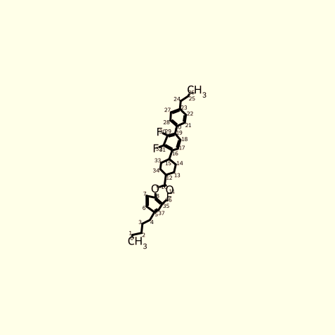 CCCCCc1ccc(OC(=O)C2CCC(c3ccc(-c4ccc(CCC)cc4)c(F)c3F)CC2)c(F)c1